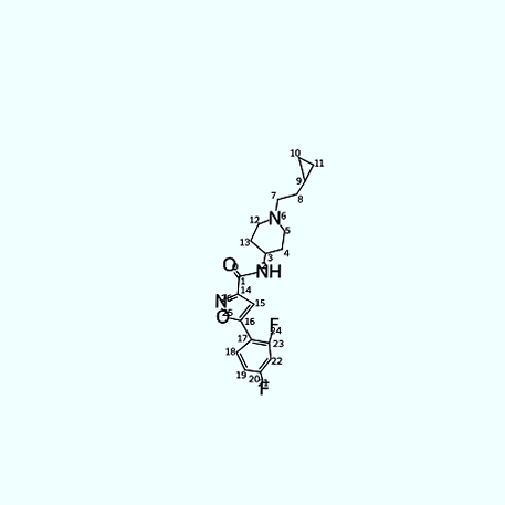 O=C(NC1CCN(CCC2CC2)CC1)c1cc(-c2ccc(F)cc2F)on1